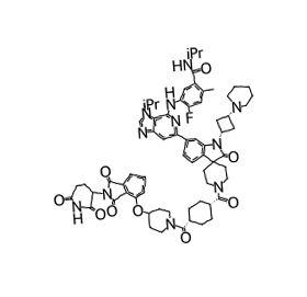 Cc1cc(F)c(Nc2nc(-c3ccc4c(c3)N([C@H]3C[C@@H](N5CCCCC5)C3)C(=O)C43CCN(C(=O)[C@H]4CC[C@@H](C(=O)N5CCC(Oc6cccc7c6C(=O)N(C6CCC(=O)NC6=O)C7=O)CC5)CC4)CC3)cc3ncn(C(C)C)c23)cc1C(=O)NC(C)C